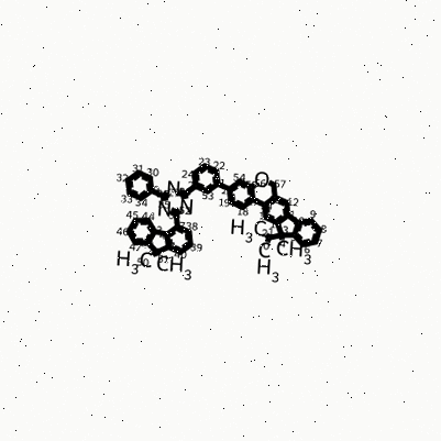 CC(C)C1(C)c2ccccc2-c2cc3c(cc21)-c1ccc(-c2cccc(-c4nc(-c5ccccc5)nc(-c5cccc6c5-c5ccccc5C6(C)C)n4)c2)cc1OC3